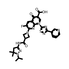 CC(C)N1N=C(NC(=O)C2CN(c3nc4c(cc3F)c(=O)c(C(=O)O)cn4-c3nc(-c4c#ccnc4)ns3)C2)CC1(C)C